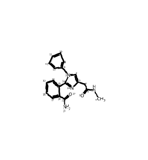 CNC(=O)Cc1cn(-c2ccccc2)c(-c2ccccc2C(N)=O)n1